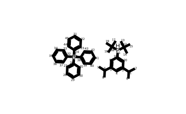 CC(C)c1cc(C(C)C)cc([PH+](C(C)(C)C)C(C)(C)C)c1.c1ccc([B-](c2ccccc2)(c2ccccc2)c2ccccc2)cc1